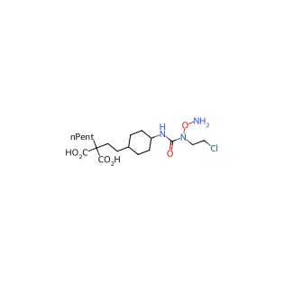 CCCCCC(CCC1CCC(NC(=O)N(CCCl)ON)CC1)(C(=O)O)C(=O)O